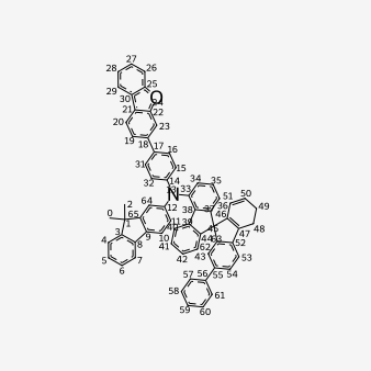 CC1(C)c2ccccc2-c2ccc(N(c3ccc(-c4ccc5c(c4)oc4ccccc45)cc3)c3cccc4c3-c3ccccc3C43C4=C(CCC=C4)c4ccc(-c5ccccc5)cc43)cc21